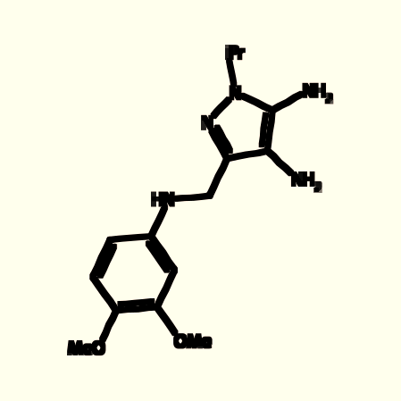 COc1ccc(NCc2nn(C(C)C)c(N)c2N)cc1OC